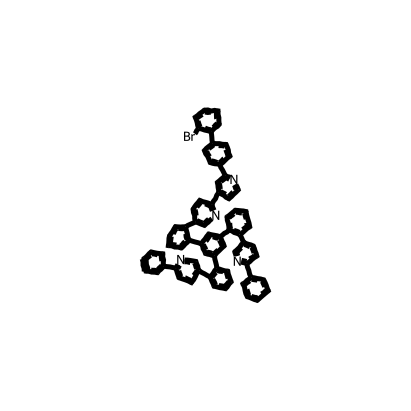 Brc1ccccc1-c1ccc(-c2cc(-c3ccc(-c4ccccc4-c4cc(-c5ccccc5-c5ccc(-c6cc#ccc6)nc5)cc(-c5ccccc5-c5ccc(-c6ccccc6)nc5)c4)cn3)ccn2)cc1